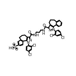 O=C(NCCCNC(=O)c1nn(-c2ccc(Cl)cc2Cl)c2c1CCCc1cc(S(=O)(=O)O)ccc1-2)c1nn(-c2ccc(Cl)cc2Cl)c2c1CCCc1ccccc1-2